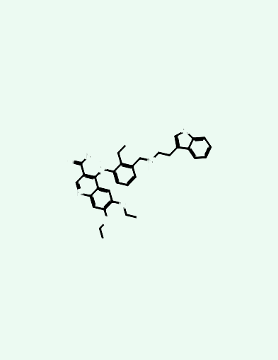 CCOc1cc2ncc(C(N)=O)c(Nc3cccc(CNCCc4c[nH]c5ccccc45)c3CC)c2cc1OCC